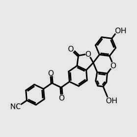 N#Cc1ccc(C(=O)C(=O)c2ccc3c(c2)C(=O)OC32c3ccc(O)cc3Oc3cc(O)ccc32)cc1